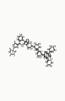 C1=CC(C2C=CC=CC2)=CC=1C1Cc2c(oc3c2C=CC(C2=C[C@H](c4cccc(-c5nc(C6=CC=CCC6)nc(-c6ccccc6)n5)c4)CC=C2)C3)-c2ccccc21